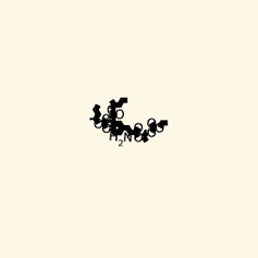 CCCC(C)OC(=O)Oc1cc(C[C@H](N)C(=O)OC(C)COC(=O)OCC)ccc1OC(=O)O[C@@H](C)CCC